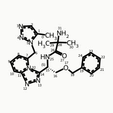 Cc1cnnn1Cc1cccc2nnc([C@@H](COCc3ccccc3)NC(=O)C(C)(C)N)n12